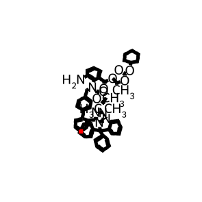 CC(OC(=O)OC1CCCCC1)OC(=O)c1cccc(N)c1N(Cc1ccc(-c2ccccc2-c2nnnn2C(c2ccccc2)(c2ccccc2)c2ccccc2)cc1)C(=O)OC(C)(C)C